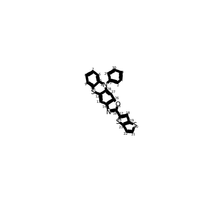 c1ccc(N2c3ccccc3Sc3cc4nc(-c5cc6sccc6s5)oc4cc32)cc1